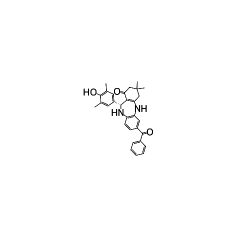 Cc1cc([C@H]2Nc3ccc(C(=O)c4ccccc4)cc3NC3=C2C(=O)CC(C)(C)C3)cc(C)c1O